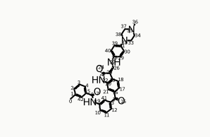 Cc1cccc(C(=O)Nc2cccc(C(=O)c3ccc4c(c3)NC(=O)C4=CNc3ccc(N4CCN(C)CC4)cc3)c2)c1